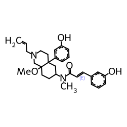 C=CCN1CCC2(c3cccc(O)c3)CC(N(C)C(=O)/C=C/c3cccc(O)c3)CCC2(OC)C1